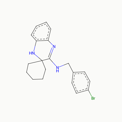 Brc1ccc(CNC2=Nc3ccccc3NC23CCCCC3)cc1